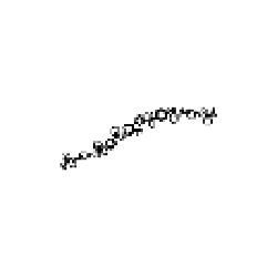 C=C(C)C(=O)OCCOCCOC(=O)Oc1ccc(C(=O)Oc2ccc3c(c2)C(C)(C)c2cc(OC(=O)c4ccc(OC(=O)OCCOCCOC(=O)C(=C)C)cc4)ccc2-3)cc1